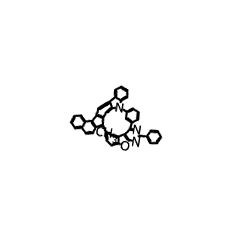 CC12c3ccc4oc5nc(-c6ccccc6)nc(c5c4c3)-c3cccc(c3)-n3c4ccccc4c4cc(c1cc43)-c1c2ccc2ccccc12